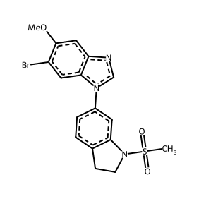 COc1cc2ncn(-c3ccc4c(c3)N(S(C)(=O)=O)CC4)c2cc1Br